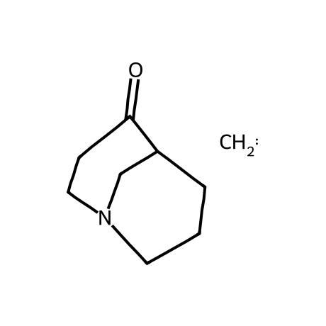 O=C1CCN2CCCC1C2.[CH2]